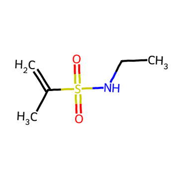 C=C(C)S(=O)(=O)NCC